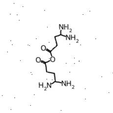 NC(N)CCC(=O)OC(=O)CCC(N)N